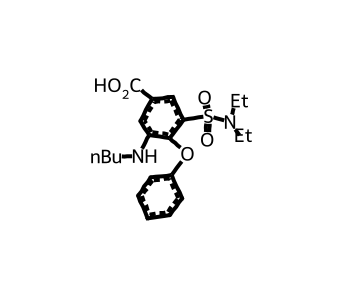 CCCCNc1cc(C(=O)O)cc(S(=O)(=O)N(CC)CC)c1Oc1ccccc1